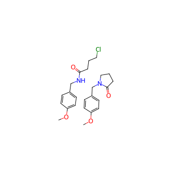 COc1ccc(CN2CCCC2=O)cc1.COc1ccc(CNC(=O)CCCCl)cc1